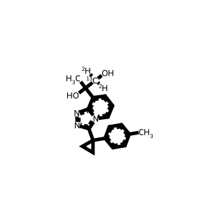 [2H][13C]([2H])(O)C(C)(O)c1cccn2c(C3(c4ccc(C)cc4)CC3)nnc12